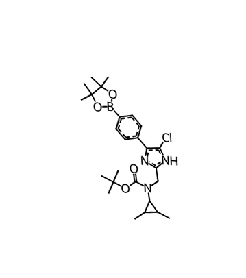 CC1C(C)C1N(Cc1nc(-c2ccc(B3OC(C)(C)C(C)(C)O3)cc2)c(Cl)[nH]1)C(=O)OC(C)(C)C